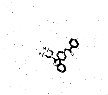 CCN(CC)C(=O)C1(c2ccccc2)CCN(CC(=O)c2ccccc2)CC1